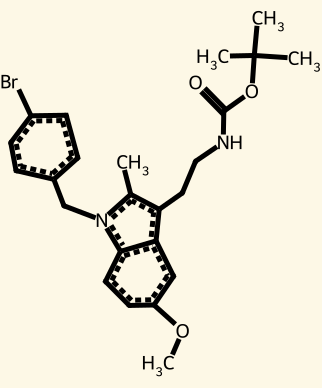 COc1ccc2c(c1)c(CCNC(=O)OC(C)(C)C)c(C)n2Cc1ccc(Br)cc1